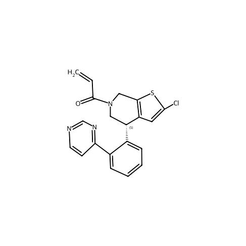 C=CC(=O)N1Cc2sc(Cl)cc2[C@H](c2ccccc2-c2ccncn2)C1